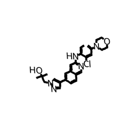 C=C(/C=C(Cl)\C(=C/C)Nc1cc2cc(-c3cnn(CC(C)(C)O)c3)ccc2cn1)N1CCOCC1